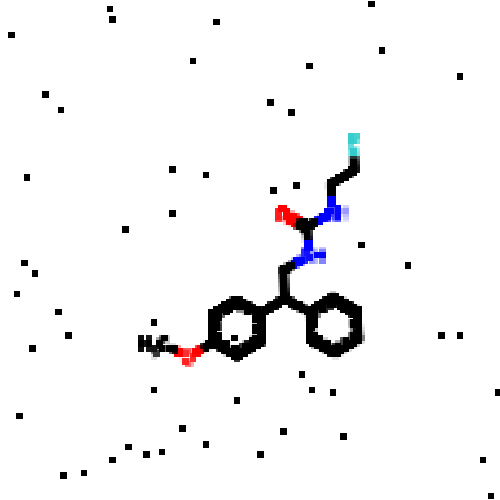 COc1ccc(C(CNC(=O)NCCF)c2ccccc2)cc1